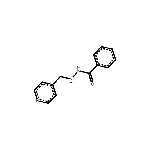 O=C(NNCc1ccncc1)c1ccccc1